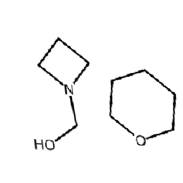 C1CCOCC1.OCN1CCC1